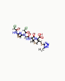 Cn1nnnc1SCC1=C(C(=O)O)N2C(=O)[C@@H](NC(=O)CN(C(=O)CCl)c3csc(NC(=O)CCl)n3)[C@@H]2SC1